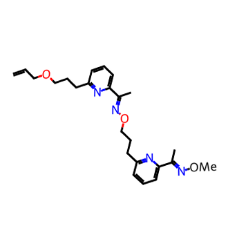 C=CCOCCCc1cccc(/C(C)=N/OCCCc2cccc(/C(C)=N/OC)n2)n1